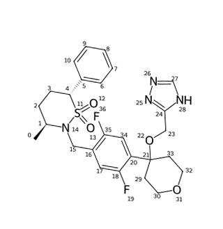 C[C@H]1CC[C@H](c2ccccc2)S(=O)(=O)N1Cc1cc(F)c(C2(OCc3nnc[nH]3)CCOCC2)cc1F